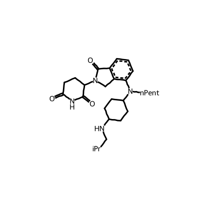 CCCCCN(c1cccc2c1CN(C1CCC(=O)NC1=O)C2=O)C1CCC(NCC(C)C)CC1